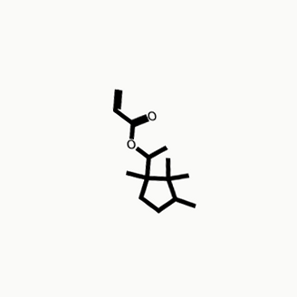 C=CC(=O)OC(C)C1(C)CCC(C)C1(C)C